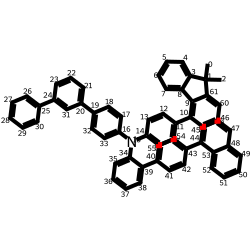 CC1(C)c2ccccc2-c2c(-c3ccc(N(c4ccc(-c5cccc(-c6ccccc6)c5)cc4)c4ccccc4-c4ccc(-c5cccc6ccccc56)cc4)cc3)cccc21